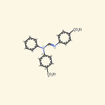 CCOC(=O)c1ccc(N=CN(c2ccccc2)c2ccc(C(=O)OCC)cc2)cc1